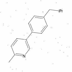 Cc1ccc(-c2ccc(CC(C)C)cc2)cn1